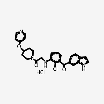 Cl.O=C(c1ccc2cc[nH]c2c1)c1cccc(NCC(=O)N2CCC(Oc3ccncc3)CC2)c1Cl